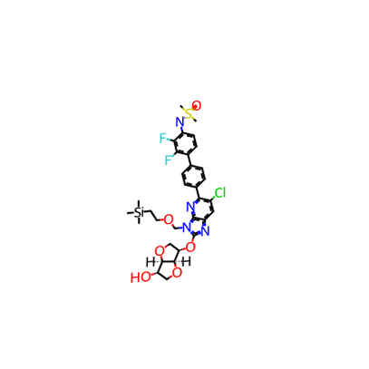 C[Si](C)(C)CCOCn1c(O[C@@H]2CO[C@H]3[C@@H]2OC[C@H]3O)nc2cc(Cl)c(-c3ccc(-c4ccc(N=S(C)(C)=O)c(F)c4F)cc3)nc21